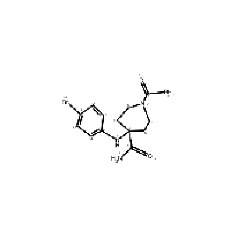 BC(=O)N1CCC(Nc2ccc(Br)cc2)(C(N)=O)CC1